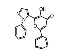 O=c1cc(-c2ccccc2)oc(-c2ccnn2-c2ccccc2)c1O